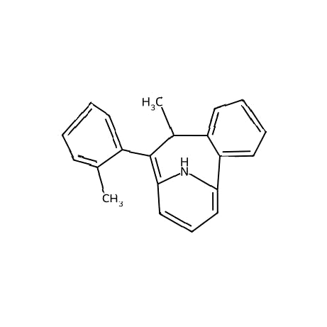 Cc1ccccc1C1=C2C=CC=C(N2)c2ccccc2C1C